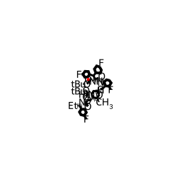 CC[C@@H](NC(=O)OC[C@@H]1[C@H](C)O[C@H](CCc2c(F)cccc2NC(=O)[C@@H](NC(=O)OC(C)(C)C)C(c2ccc(F)cc2)c2ccc(F)cc2)CN1C(=O)OC(C)(C)C)c1ccc(F)cc1